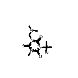 CCC(C)(C)n1c(=O)n(C)c(=S)n(CN(C)C)c1=O